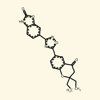 CCC1(CC)CC(=O)c2cc(-c3nc(-c4ccc5[nH]c(=O)oc5c4)no3)ccc2O1